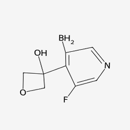 Bc1cncc(F)c1C1(O)COC1